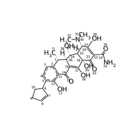 C[C@H]1c2ccc(C3C=CCC3)c(O)c2C(=O)C2=C(O)[C@]3(O)C(=O)C(C(N)=O)=C(O)[C@@H](N(C)C)[C@@H]3[C@@H](O)[C@@H]21